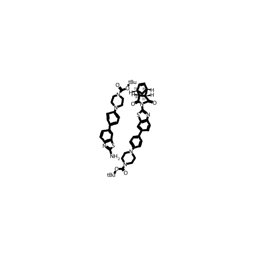 CC(C)(C)OC(=O)N1CCN(c2ccc(-c3ccc4nc(N)sc4c3)cc2)CC1.CC(C)(C)OC(=O)N1CCN(c2ccc(-c3ccc4nc(N5C(=O)[C@@H]6[C@H](C5=O)[C@@H]5C=C[C@H]6C5)sc4c3)cc2)CC1